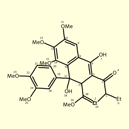 CCC(CC)C(=O)C1=C(O)c2cc(OC)c(OC)c(OC)c2C(O)(c2ccc(OC)c(OC)c2)C1C(=O)OC